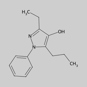 CCCc1c(O)c(CC)nn1-c1ccccc1